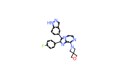 Fc1ccc(-c2nc3c(N4CC5(COC5)C4)nccn3c2-c2ccc3[nH]ncc3c2)cc1